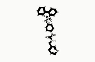 O=C(NCc1cccnc1)N[C@H]1CC[C@H](NS(=O)(=O)c2ccccc2-c2ccccc2)CC1